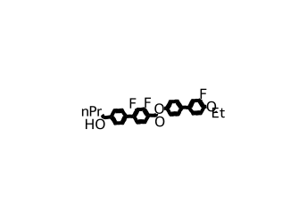 CCCC(O)c1ccc(-c2ccc(C(=O)Oc3ccc(-c4ccc(OCC)c(F)c4)cc3)c(F)c2F)cc1